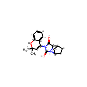 CC1(C)C=C(N2C(=O)C3C4CCC(C4)N3C2=O)c2ccccc2O1